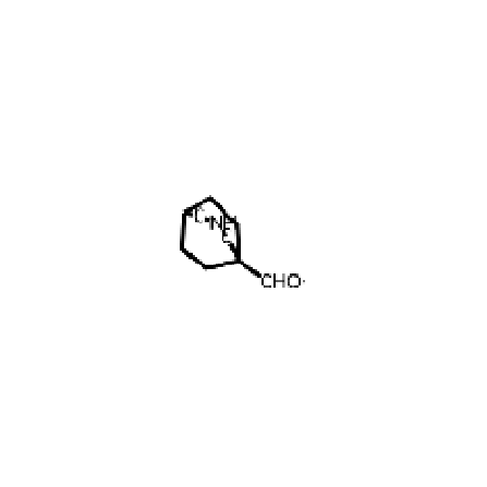 O=[C]C12CCC(CC1)CNC2